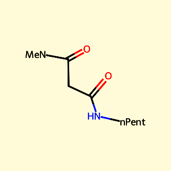 CCCCCNC(=O)CC(=O)NC